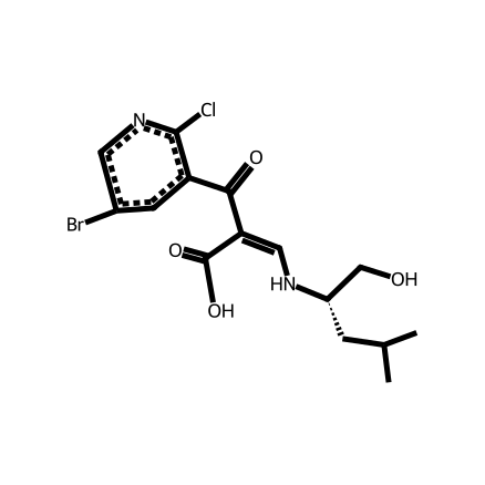 CC(C)C[C@@H](CO)NC=C(C(=O)O)C(=O)c1cc(Br)cnc1Cl